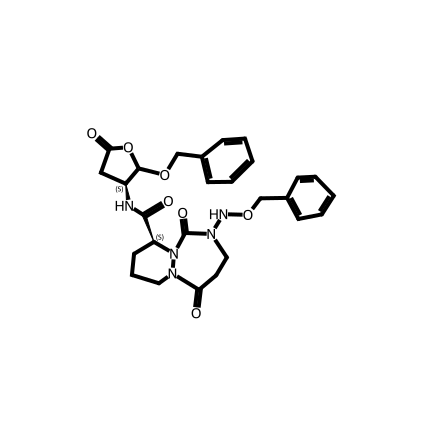 O=C1C[C@H](NC(=O)[C@@H]2CCCN3C(=O)CCN(NOCc4ccccc4)C(=O)N23)C(OCc2ccccc2)O1